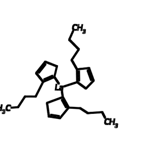 CCCCC1=[C]([La]([C]2=C(CCCC)C=CC2)[C]2=C(CCCC)C=CC2)CC=C1